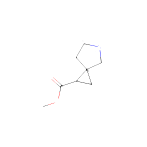 COC(=O)C1CC12CCNC2